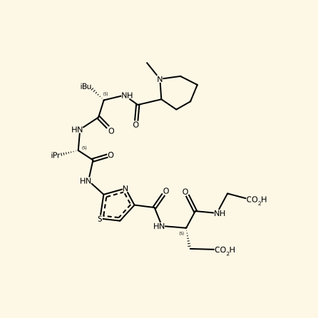 CCC(C)[C@H](NC(=O)C1CCCCN1C)C(=O)N[C@H](C(=O)Nc1nc(C(=O)N[C@@H](CC(=O)O)C(=O)NCC(=O)O)cs1)C(C)C